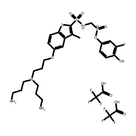 Cc1c(S(=O)(=O)[AsH]C[PH](=O)Oc2ccc(C#N)c(F)c2)sc2ccc(OCCCN(CCCN)CCCN)cc12.O=C(O)C(F)(F)F.O=C(O)C(F)(F)F